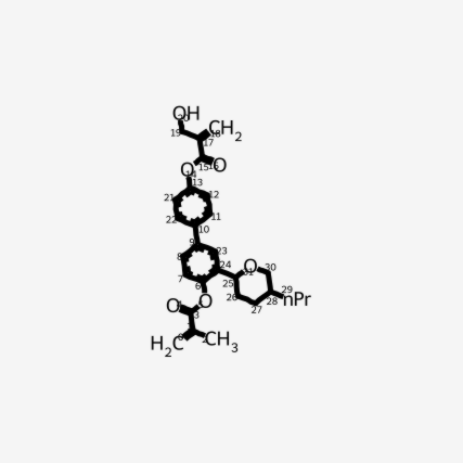 C=C(C)C(=O)Oc1ccc(-c2ccc(OC(=O)C(=C)CO)cc2)cc1C1CCC(CCC)CO1